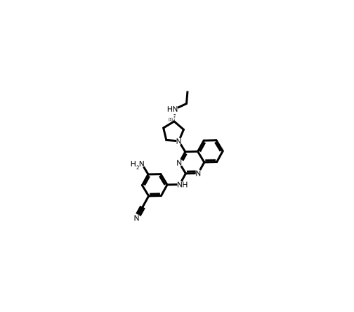 CCN[C@H]1CCN(c2nc(Nc3cc(N)cc(C#N)c3)nc3ccccc23)C1